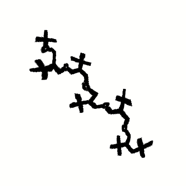 CC(C)(C)CC(COCC(COCC(COCC(COCC(COC(C)(C)C)C(C)(C)C)C(C)(C)C)C(C)(C)C)C(C)(C)C)C(C)(C)C